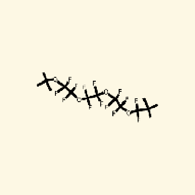 CC(C)(C)OC(F)(F)C(F)(F)OC(F)(F)C(F)(F)OC(F)(F)C(F)(F)OC(F)(F)C(C)(C)C